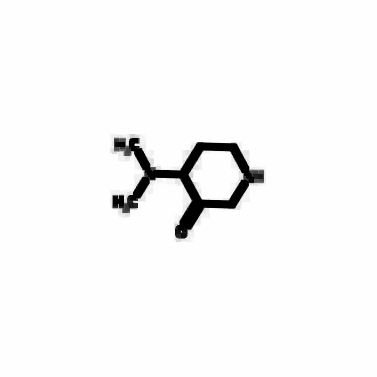 CN(C)C1CCNCC1=O